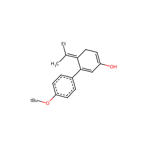 CCC(C)=C1CC=C(O)C=C1c1ccc(OC(C)(C)C)cc1